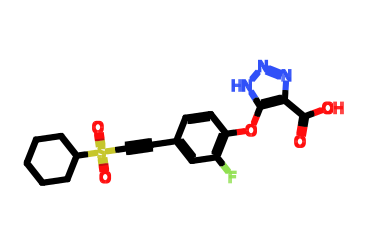 O=C(O)c1nn[nH]c1Oc1ccc(C#CS(=O)(=O)C2CCCCC2)cc1F